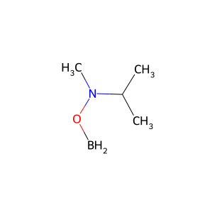 BON(C)C(C)C